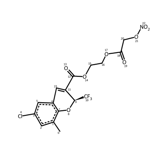 Cc1cc(Cl)cc2c1O[C@H](C(F)(F)F)C(C(=O)OCCOC(=O)CO[N+](=O)[O-])=C2